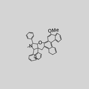 COc1cc2c3c(c4c(c2c2ccccc12)C=CCC4)CC1(c2ccccc2)C(O3)C(c2ccccc2)N(C)C1c1ccccc1